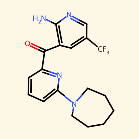 Nc1ncc(C(F)(F)F)cc1C(=O)c1cccc(N2CCCCCC2)n1